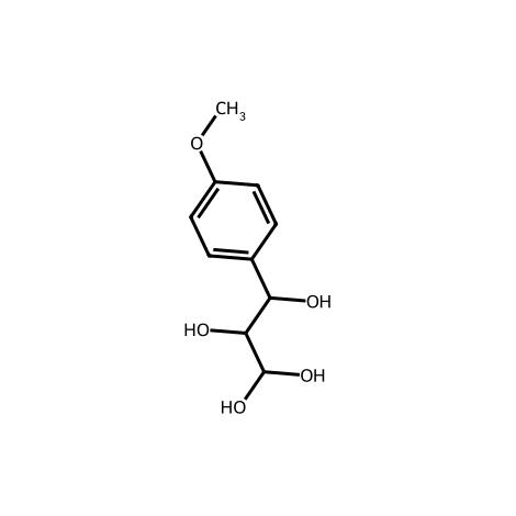 COc1ccc(C(O)C(O)C(O)O)cc1